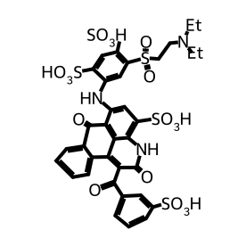 CCN(CC)CCS(=O)(=O)c1cc(Nc2cc(S(=O)(=O)O)c3[nH]c(=O)c(C(=O)c4cccc(S(=O)(=O)O)c4)c4c3c2C(=O)c2ccccc2-4)c(S(=O)(=O)O)cc1S(=O)(=O)O